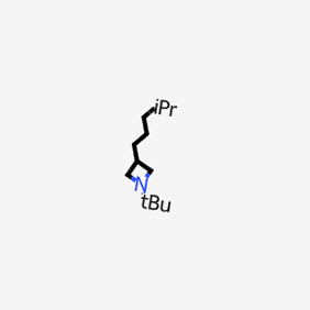 CC(C)CCCC1CN(C(C)(C)C)C1